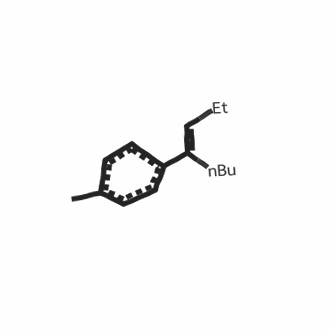 CCC=C(CCCC)c1ccc(C)cc1